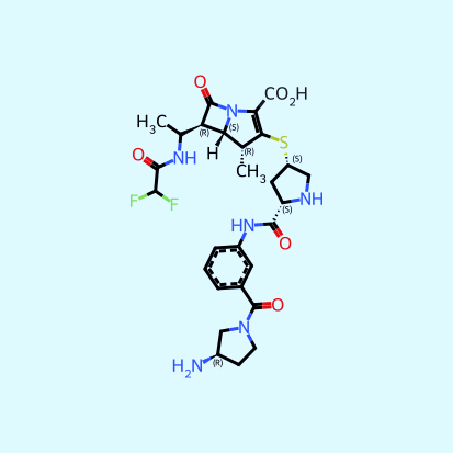 CC(NC(=O)C(F)F)[C@H]1C(=O)N2C(C(=O)O)=C(S[C@@H]3CN[C@H](C(=O)Nc4cccc(C(=O)N5CC[C@@H](N)C5)c4)C3)[C@H](C)[C@H]12